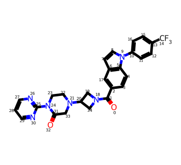 O=C(c1ccc2c(ccn2-c2ccc(C(F)(F)F)cc2)c1)N1CC(N2CCN(c3ncccn3)C(=O)C2)C1